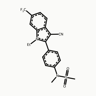 CCn1c(-c2ccc(N(C)S(C)(=O)=O)cc2)c(C#N)c2ccc(C(F)(F)F)cc21